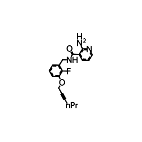 CCCC#CCOc1cccc(CNC(=O)c2cccnc2N)c1F